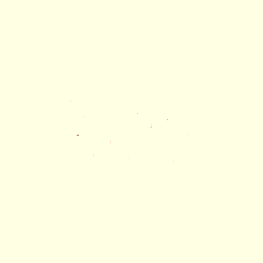 CC(C)C(C)Oc1ccc(CC(=O)Cl)cc1